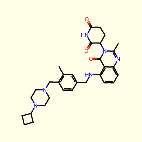 Cc1cc(CNc2cccc3nc(C)n(C4CCC(=O)NC4=O)c(=O)c23)ccc1CN1CCN(C2CCC2)CC1